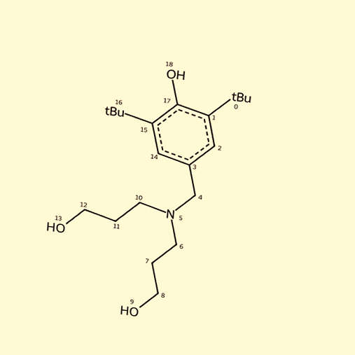 CC(C)(C)c1cc(CN(CCCO)CCCO)cc(C(C)(C)C)c1O